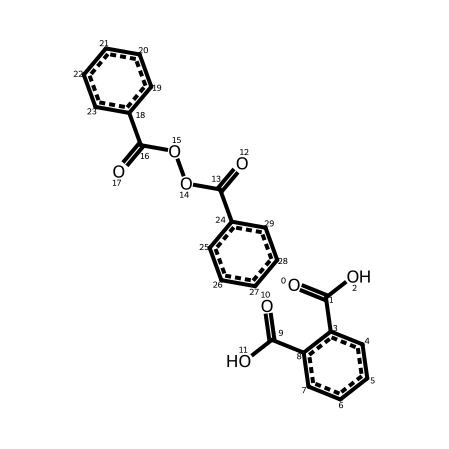 O=C(O)c1ccccc1C(=O)O.O=C(OOC(=O)c1ccccc1)c1ccccc1